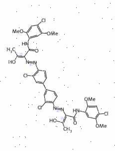 COc1cc(NC(=O)C(/N=N/c2ccc(-c3ccc(/N=N/C(C(=O)Nc4cc(OC)c(Cl)cc4OC)=C(/C)O)c(Cl)c3)cc2Cl)=C(\C)O)c(OC)cc1Cl